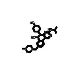 CC(C)Nc1ncc2c(n1)N(C1CCC(O)CC1)C(O)c1cc(CN3CCN(C)CC3)ccc1-2